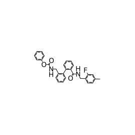 Cc1ccc(CNC(=O)c2ccccc2-c2ccccc2CNC(=O)Oc2ccccc2)c(F)c1